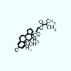 CC(C)C(=O)OCC(=O)[C@H]1CCC2C3CCC4=CC(=O)C=CC4(C)C3[C@@H](O)CC21C